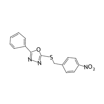 O=[N+]([O-])c1ccc(CSc2nnc(-c3ccccc3)o2)cc1